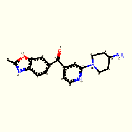 Cc1nc2ccc(C(=O)c3ccnc(N4CCC(N)CC4)c3)cc2o1